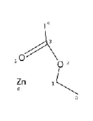 CCOC(C)=O.[Zn]